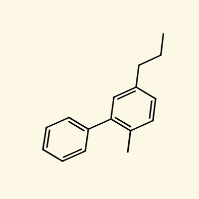 CCCc1ccc(C)c(-c2ccccc2)c1